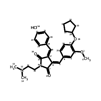 COc1cc(C=C2C(=O)N(CCN(C)C)C(=O)C2=Cc2ccccc2)ccc1OC1CCCC1.Cl